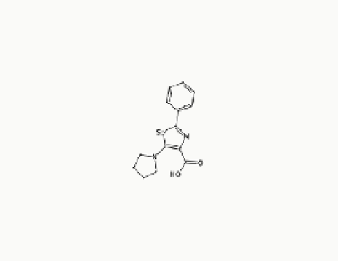 O=C(O)c1nc(-c2ccccc2)[se]c1N1CCCC1